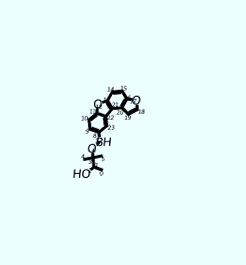 CC(O)C(C)(C)OBc1ccc2oc3ccc4occc4c3c2c1